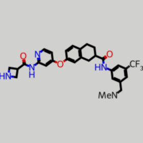 CNCc1cc(NC(=O)C2CCc3ccc(Oc4ccnc(NC(=O)C5CNC5)c4)cc3C2)cc(C(F)(F)F)c1